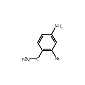 CCCCOc1ccc(N)cc1Br